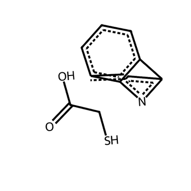 O=C(O)CS.c1cc2c3nc-2ccc3c1